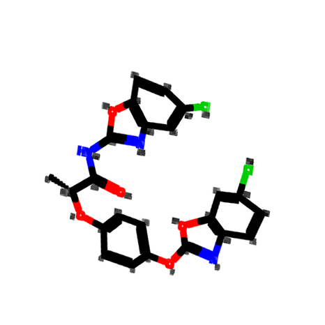 C[C@@H](Oc1ccc(Oc2nc3ccc(Cl)cc3o2)cc1)C(=O)Nc1nc2cc(Cl)ccc2o1